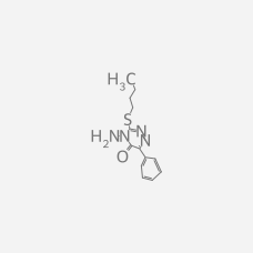 CCCCSc1nnc(-c2ccccc2)c(=O)n1N